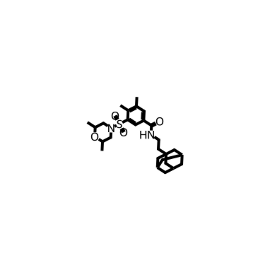 Cc1cc(C(=O)NCCC23CC4CC(CC(C4)C2)C3)cc(S(=O)(=O)N2CC(C)OC(C)C2)c1C